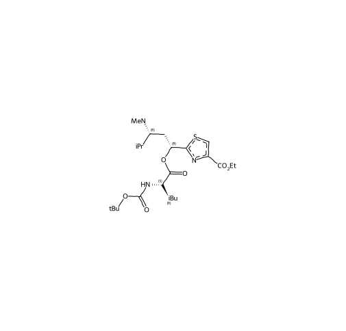 CCOC(=O)c1csc([C@@H](C[C@@H](NC)C(C)C)OC(=O)[C@@H](NC(=O)OC(C)(C)C)[C@H](C)CC)n1